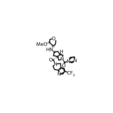 CO[C@@H]1COCC[C@@H]1N[C@@H]1C[C@H]2CN(C(=O)n3ccnc3)C[C@@]2(C(=O)N2CCc3ncc(C(F)(F)F)cc3C2)C1